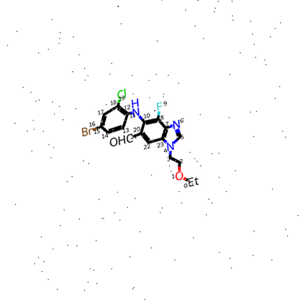 CCOCCn1cnc2c(F)c(Nc3ccc(Br)cc3Cl)c(C=O)cc21